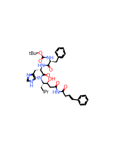 CC(C)C[C@H](NC(=O)[C@H](Cc1c[nH]cn1)NC(=O)[C@H](Cc1ccccc1)NC(=O)OC(C)(C)C)[C@@H](O)CC(=O)NC(=O)[CH]/C=C/c1ccccc1